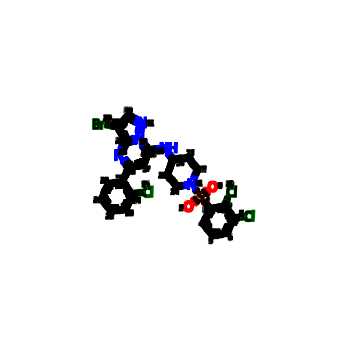 O=S(=O)(c1cccc(Cl)c1Cl)N1CCC(Nc2cc(-c3ccccc3Cl)nc3c(Br)cnn23)CC1